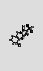 CS(=O)(=O)C1=NC2=NC3=C(CCCC3Cl)CN2N1